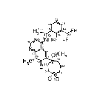 COC1(c2cc3c(N[C@H](C)c4cccc(C(F)F)c4F)ncnc3n(C)c2=O)CCCS(=O)(=O)CC1